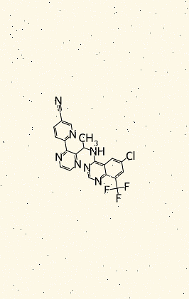 CC(Nc1ncnc2c(C(F)(F)F)cc(Cl)cc12)c1nccnc1-c1ccc(C#N)cn1